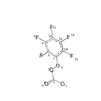 O=C(Cl)OOc1c(F)c(F)c(F)c(F)c1F